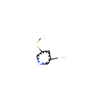 COc1cn[c]c(SC(F)(F)F)c1